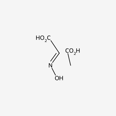 CC(=O)O.O=C(O)C=NO